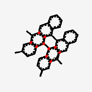 Cc1ccc(P(c2ccc(C)cc2)c2ccc3ccccc3c2-c2c(P(c3ccc(C)cc3)c3ccc(C)cc3)c(Cl)cc3ccccc23)cc1